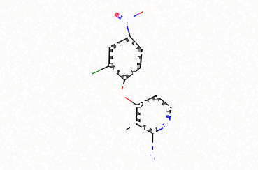 Cc1c(Oc2ccc([N+](=O)[O-])cc2F)ccnc1N